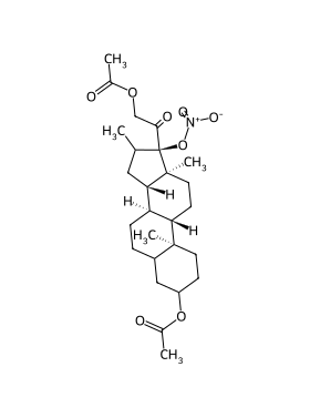 CC(=O)OCC(=O)[C@@]1(O[N+](=O)[O-])C(C)C[C@H]2[C@@H]3CCC4CC(OC(C)=O)CC[C@]4(C)[C@H]3CC[C@@]21C